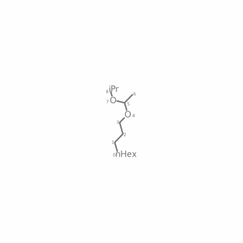 CCCCCCCCCOC(C)OC(C)C